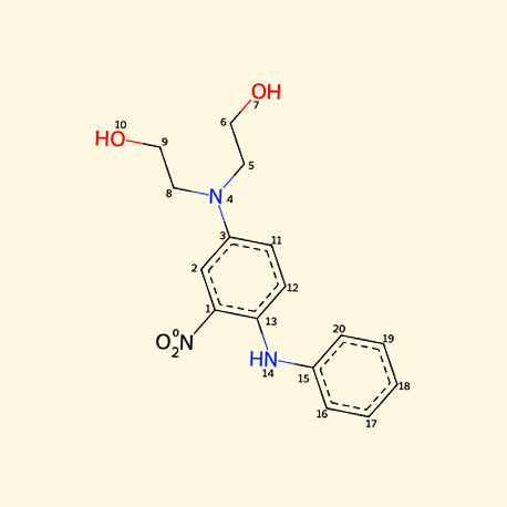 O=[N+]([O-])c1cc(N(CCO)CCO)ccc1Nc1ccccc1